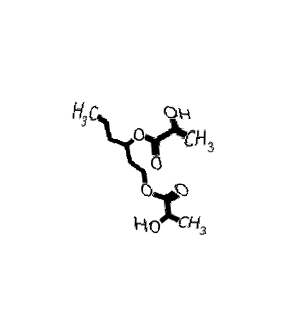 CCCC(CCOC(=O)C(C)O)OC(=O)C(C)O